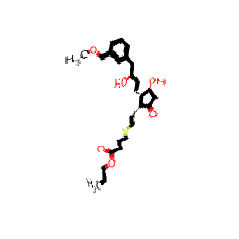 CCCOC(=O)CCCSCC[C@H]1C(=O)C[C@@H](O)[C@H]1/C=C/[C@@H](O)Cc1cccc(COC)c1